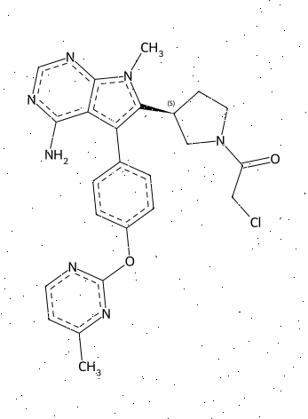 Cc1ccnc(Oc2ccc(-c3c([C@H]4CCN(C(=O)CCl)C4)n(C)c4ncnc(N)c34)cc2)n1